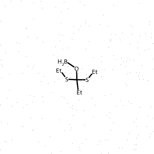 BOC(CC)(SCC)SCC